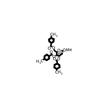 CON=C[C@@H](OC(=O)c1ccc(C)cc1)[C@@H](OC(=O)c1ccc(C)cc1)[C@@H](O)COC(=O)c1ccc(C)cc1